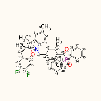 Cc1ccc2c(c1)C(C)(C)C1(C=Cc3cc(F)c(F)cc3O1)N2Cc1cc(C)c(C(=O)P(=O)(c2ccccc2)c2ccccc2)c(C)c1